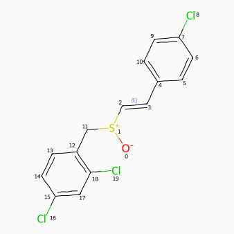 [O-][S+](/C=C/c1ccc(Cl)cc1)Cc1ccc(Cl)cc1Cl